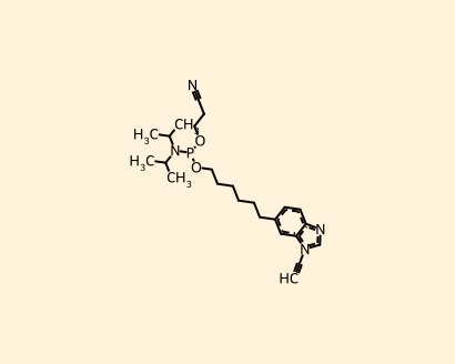 C#Cn1cnc2ccc(CCCCCCOP(OCCC#N)N(C(C)C)C(C)C)cc21